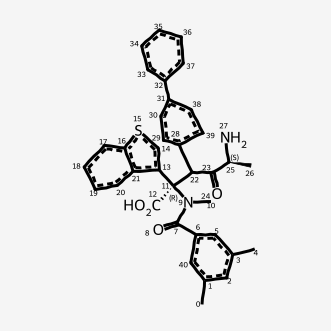 Cc1cc(C)cc(C(=O)N(C)[C@@](C(=O)O)(c2csc3ccccc23)C(C(=O)[C@H](C)N)c2ccc(-c3ccccc3)cc2)c1